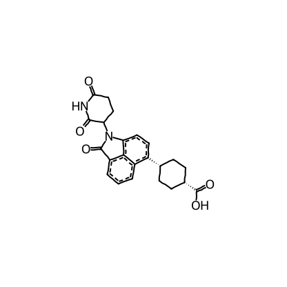 O=C1CCC(N2C(=O)c3cccc4c3c2ccc4[C@H]2CC[C@@H](C(=O)O)CC2)C(=O)N1